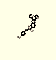 Cc1ccc(CCNC(O)c2ccc3nc(-c4ccco4)c(-c4ccco4)nc3c2)cc1